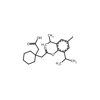 CC(C)c1cc(I)cc(C(C)C)c1OC(=O)CC1(CC(=O)O)CCCCC1